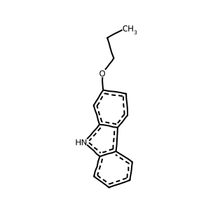 CCCOc1ccc2c(c1)[nH]c1ccccc12